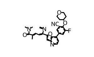 C=N/C(=C\C=C(/C)C(=O)N(C)C)c1cc2nccc(-c3cc(F)c(OC4CCOCC4)c(C#N)c3)c2o1